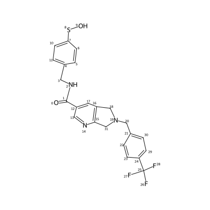 O=C(NCc1ccc(SO)cc1)c1cnc2c(c1)CN(Cc1ccc(C(F)(F)F)cc1)C2